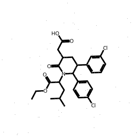 CCOC(=O)C(CC(C)C)N1C(=O)C(CC(=O)O)CC(c2cccc(Cl)c2)C1c1ccc(Cl)cc1